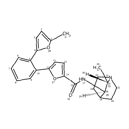 Cc1ccc(-c2ccccc2-c2ccc(C(=O)N[C@@H]3C4CCN(CC4)[C@H]3C)o2)o1